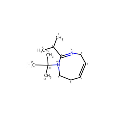 CC(C)/C1=N/C/C=C\CCN1C(C)(C)C